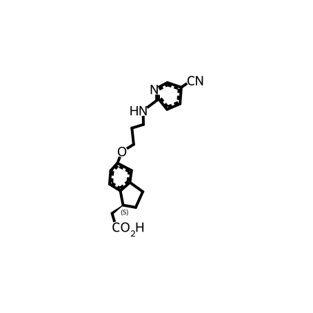 N#Cc1ccc(NCCCOc2ccc3c(c2)CC[C@H]3CC(=O)O)nc1